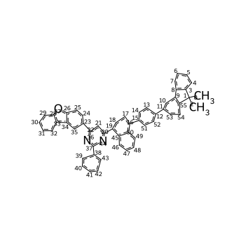 CC1(C)c2ccccc2-c2cc(-c3ccc(-c4ccc(-c5cc(-c6ccc7oc8ccccc8c7c6)nc(-c6ccccc6)n5)c5ccccc45)cc3)ccc21